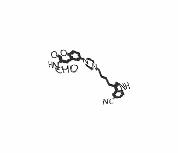 N#Cc1ccc2[nH]cc(CCCCN3CCN(c4ccc5oc(=O)c(NC=O)cc5c4)CC3)c2c1